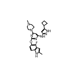 Cc1cc2c(F)c(Oc3nc(Nc4cc(C5CCC5)[nH]n4)cc(N4CCN(C)CC4)n3)ccc2[nH]1